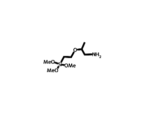 CO[Si](CCOC(C)CN)(OC)OC